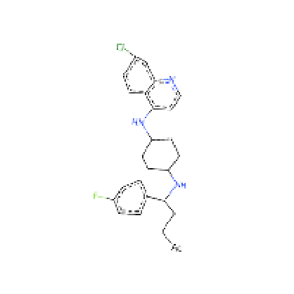 CC(=O)CCC(NC1CCC(Nc2ccnc3cc(Cl)ccc23)CC1)c1ccc(F)cc1